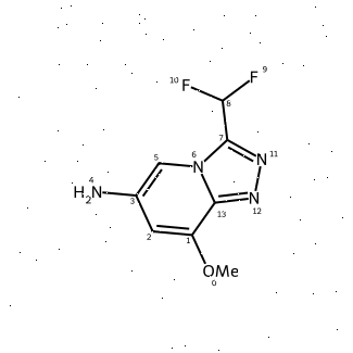 COc1cc(N)cn2c(C(F)F)nnc12